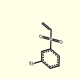 C=CS(=O)(=O)c1cccc(CC)c1